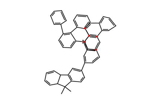 CC1(C)c2ccc(-c3cccc(N(c4ccc5ccccc5c4)c4cccc(-c5ccccc5)c4-c4ccccc4-c4ccccc4)c3)cc2C2C=CC=CC21